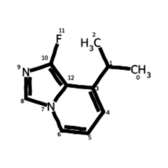 CC(C)c1cccn2cnc(F)c12